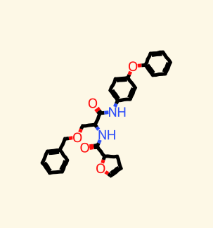 O=C(Nc1ccc(Oc2ccccc2)cc1)C(COCc1ccccc1)NC(=O)C1CC=CO1